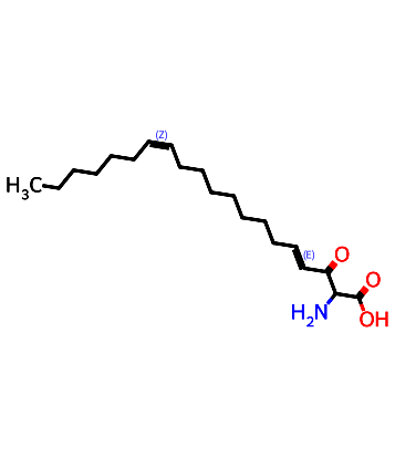 CCCCCC/C=C\CCCCCCC/C=C/C(=O)C(N)C(=O)O